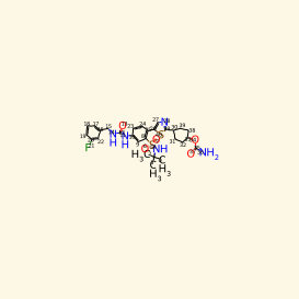 CC(C)(C)NS(=O)(=O)c1cc(NC(=O)NCc2cccc(F)c2)ccc1-c1cnc(C2CCC(OC(N)=O)CC2)s1